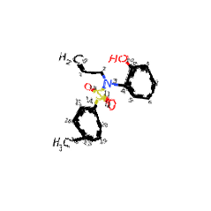 C=CCN(c1ccccc1O)S(=O)(=O)c1ccc(C)cc1